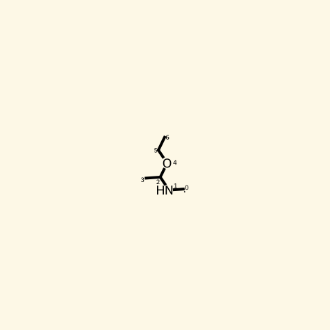 [CH2]NC(C)OCC